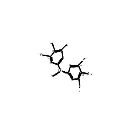 Cc1cc(P(C)c2cc(F)c(F)c(F)c2)cc(F)c1C